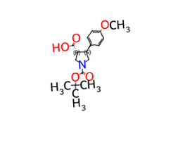 COc1ccc([C@H]2CN(C(=O)OC(C)(C)C)C[C@@H]2C(=O)O)cc1